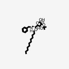 CCCCCCCCCCCCO[C@H](CNCc1ccccc1)[C@H]1O[C@H](O)[C@H]2OC(C)(C)O[C@H]21